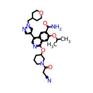 CC(C)Oc1cc2c(OC3CCCN(C(=O)CC#N)C3)ncc(-c3cnn(CC4CCOCC4)c3)c2cc1C(N)=O